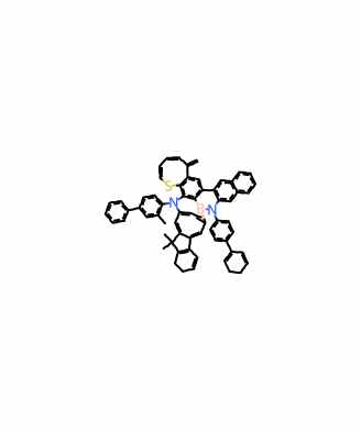 C=C1/C=C\C=C/Sc2c1cc1c3c2N(c2ccc(-c4ccccc4)cc2C)C2=C/C=C(\C=C4\C5=C(CCC=C5)C(C)(C)\C4=C\2)B3N(c2ccc(C3=CCCC=C3)cc2)c2cc3ccccc3cc2-1